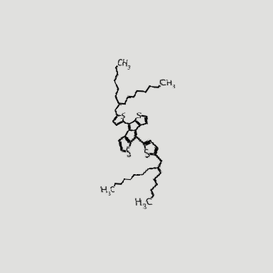 CCCCCCCCC(CCCCCC)Cc1ccc(C2=C3C(=C(c4ccc(CC(CCCCCC)CCCCCCCC)s4)c4sccc43)c3ccsc32)s1